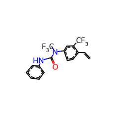 C=Cc1ccc(N(C(=O)Nc2ccccc2)C(F)(F)F)cc1C(F)(F)F